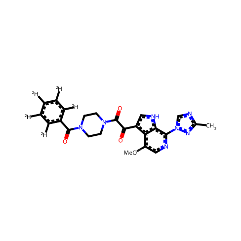 [2H]c1c([2H])c([2H])c(C(=O)N2CCN(C(=O)C(=O)c3c[nH]c4c(-n5cnc(C)n5)ncc(OC)c34)CC2)c([2H])c1[2H]